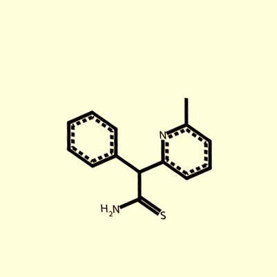 Cc1cccc(C(C(N)=S)c2ccccc2)n1